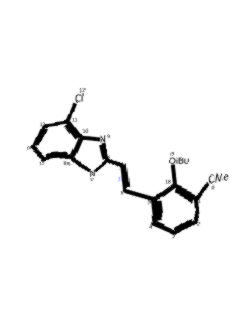 COc1cccc(/C=C/C2=Nc3c(Cl)cccc3[N]2)c1OCC(C)C